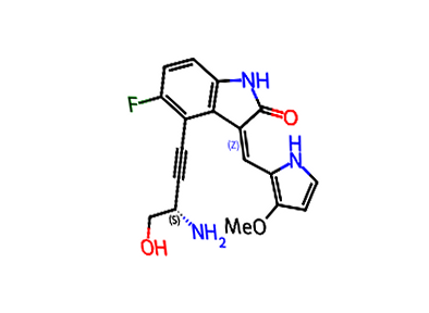 COc1cc[nH]c1/C=C1\C(=O)Nc2ccc(F)c(C#C[C@H](N)CO)c21